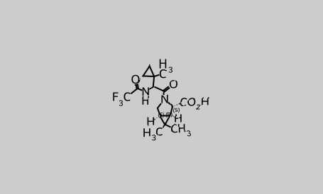 CC1(C(NC(=O)C(F)(F)F)C(=O)N2C[C@H]3[C@@H]([C@H]2C(=O)O)C3(C)C)CC1